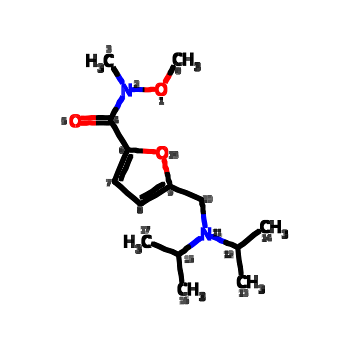 CON(C)C(=O)c1ccc(CN(C(C)C)C(C)C)o1